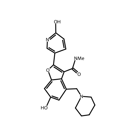 CNC(=O)c1c(-c2ccc(O)nc2)oc2cc(O)cc(CN3CCCCC3)c12